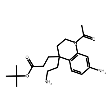 CC(=O)N1CCC(CCN)(CCC(=O)OC(C)(C)C)c2ccc(N)cc21